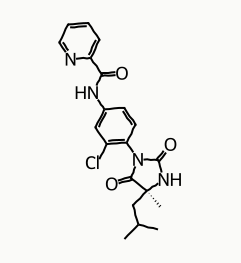 CC(C)C[C@]1(C)NC(=O)N(c2ccc(NC(=O)c3ccccn3)cc2Cl)C1=O